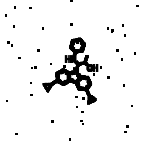 CC(O)C(Nc1ccccc1)n1c2ccc(C3CC3)cc2c2cc(C3CC3)ccc21